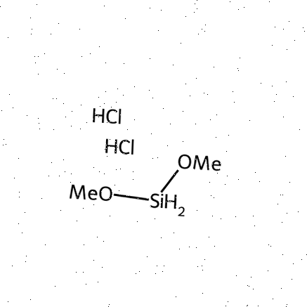 CO[SiH2]OC.Cl.Cl